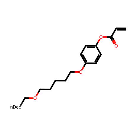 C=CC(=O)Oc1ccc(OCCCCCOCCCCCCCCCCC)cc1